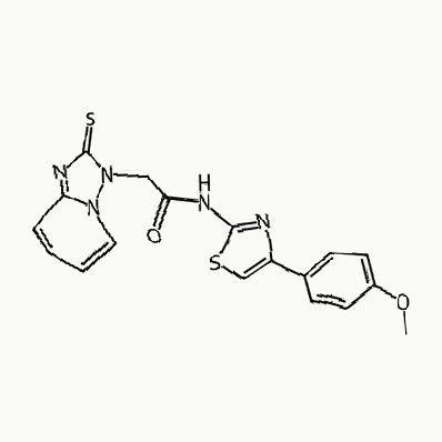 COc1ccc(-c2csc(NC(=O)Cn3c(=S)nc4ccccn43)n2)cc1